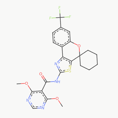 COc1ncnc(OC)c1C(=O)Nc1nc2c(s1)C1(CCCCC1)Oc1cc(C(F)(F)F)ccc1-2